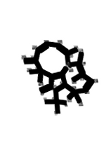 C=C/C1=C2\C(CC(C)(C)C)C(C)(C)/C=C\C(C)=C(/C)N2/C(C)=C\C=C/C(=C)C1(C)C